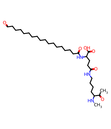 CNC(CCCCNC(=O)CCC(NC(=O)CCCCCCCCCCCCCCCCC=O)C(=O)O)C(C)=O